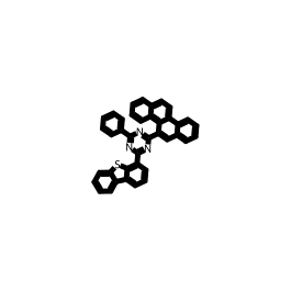 c1ccc(-c2nc(-c3cccc4c3sc3ccccc34)nc(-c3cc4ccccc4c4ccc5ccccc5c34)n2)cc1